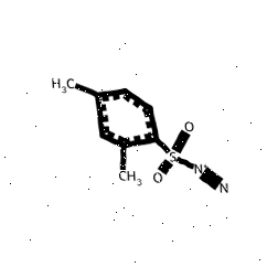 Cc1ccc(S(=O)(=O)[N+]#N)c(C)c1